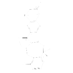 CC[C@H]1Cc2c(O)cccc2[C@@](C)(CC)CCN1C(=O)c1ccc2c(c1)NCC(=O)N2